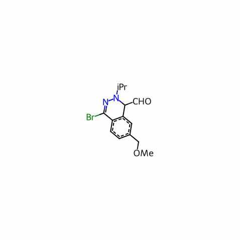 COCc1ccc2c(c1)C(C=O)N(C(C)C)N=C2Br